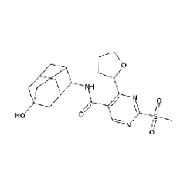 CS(=O)(=O)c1ncc(C(=O)NC2C3CC4CC2CC(O)(C4)C3)c(C2CCCO2)n1